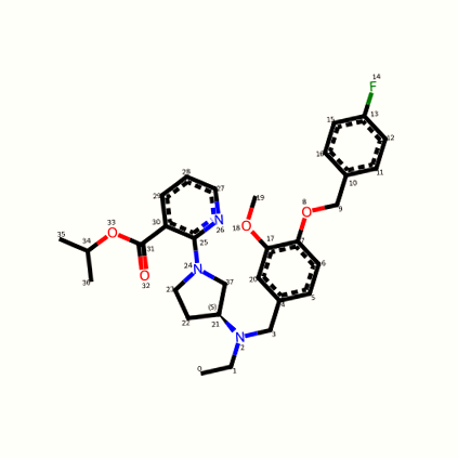 CCN(Cc1ccc(OCc2ccc(F)cc2)c(OC)c1)[C@H]1CCN(c2ncccc2C(=O)OC(C)C)C1